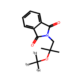 [2H]C([2H])([2H])OC(C)(C)CN1C(=O)c2ccccc2C1=O